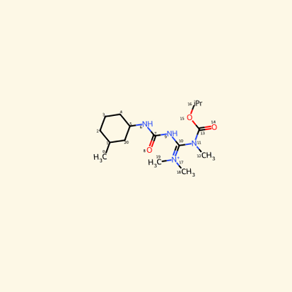 CC1CCCC(NC(=O)NC(N(C)C(=O)OC(C)C)=[N+](C)C)C1